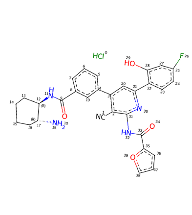 Cl.N#Cc1c(-c2cccc(C(=O)N[C@@H]3CCCC[C@H]3N)c2)cc(-c2ccc(F)cc2O)nc1NC(=O)c1ccco1